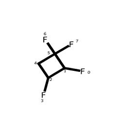 F[C]1C(F)CC1(F)F